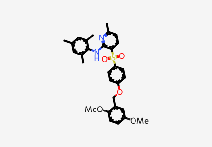 COc1ccc(OC)c(COc2ccc(S(=O)(=O)c3ccc(C)nc3Nc3c(C)cc(C)cc3C)cc2)c1